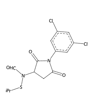 CC(C)SN(C=O)C1CC(=O)N(c2cc(Cl)cc(Cl)c2)C1=O